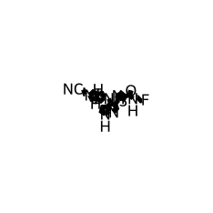 N#CCCN1C[C@H]2CC(Nc3c(-c4ncc(C(=O)NCCF)s4)cnc4[nH]ccc34)C[C@H]2C1